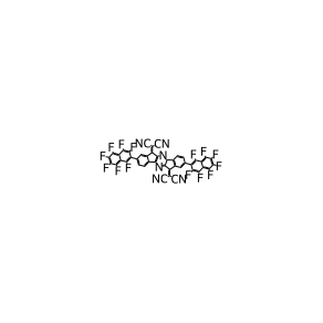 N#CC(C#N)=C1c2cc(-c3c(F)c(F)c4c(F)c(F)c(F)c(F)c4c3F)ccc2-c2nc3c(nc21)-c1ccc(-c2c(F)c(F)c4c(F)c(F)c(F)c(F)c4c2F)cc1C3=C(C#N)C#N